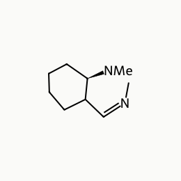 C/N=C\C1CCCC[C@H]1NC